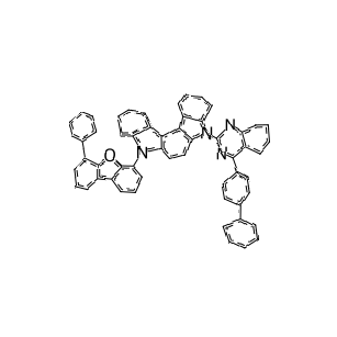 c1ccc(-c2ccc(-c3nc(-n4c5ccccc5c5c6c7ccccc7n(-c7cccc8c7oc7c(-c9ccccc9)cccc78)c6ccc54)nc4ccccc34)cc2)cc1